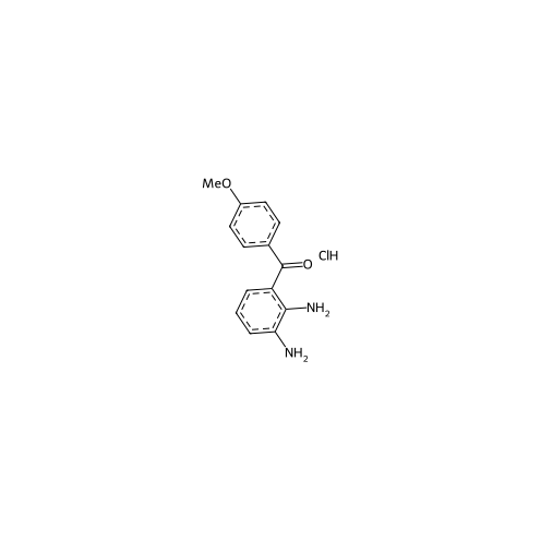 COc1ccc(C(=O)c2cccc(N)c2N)cc1.Cl